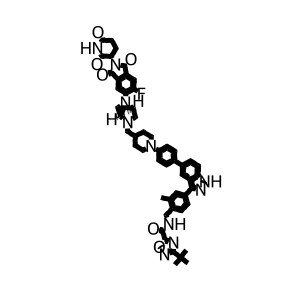 Cc1cc(-c2n[nH]c3ccc(-c4ccc(N5CCC(CN6C[C@H]7C[C@@H]6CN7c6cc7c(cc6F)C(=O)N(C6CCC(=O)NC6=O)C7=O)CC5)cc4)cc23)ccc1CNC(=O)c1nc(C(C)(C)C)no1